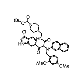 COc1ccc(CN(c2ccc3ccccc3c2)C(C(=O)NCC2CCN(C(=O)OC(C)(C)C)CC2)C(=O)c2ccc3c(Cl)c[nH]c3c2)c(OC)c1